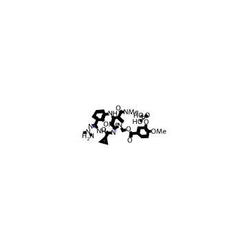 CNC(=O)c1cn(COC(=O)c2ccc(OC)c(OP(=O)(O)O)c2)/c(=N/C(=O)C2CC2)cc1Nc1cccc(/C(N)=N/N(C)N)c1OC